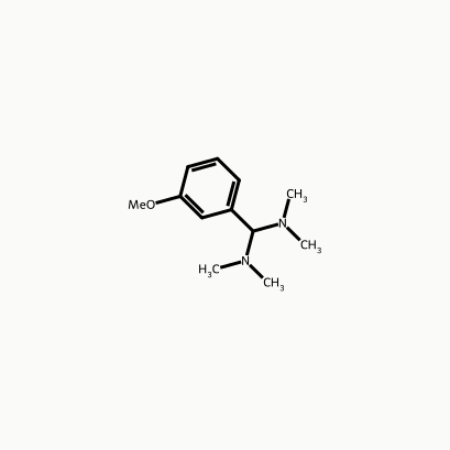 COc1cccc(C(N(C)C)N(C)C)c1